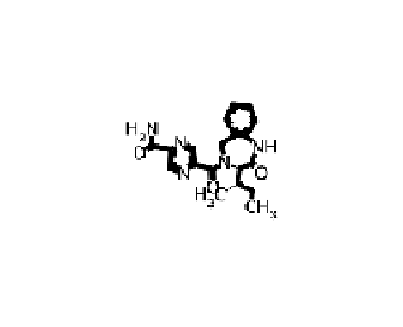 CC[C@H](C)[C@H]1C(=O)Nc2ccccc2CN1C(=O)c1cnc(C(N)=O)cn1